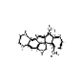 CN1C(=O)C2(COc3cc4c(cc32)OCCO4)c2c(N)cccc21